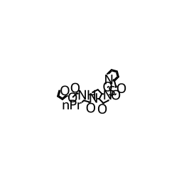 CCCC(NC(=O)Oc1ccco1)C(=O)N1CCC2C1C(=O)CN2S(=O)(=O)C(=O)c1ccccn1